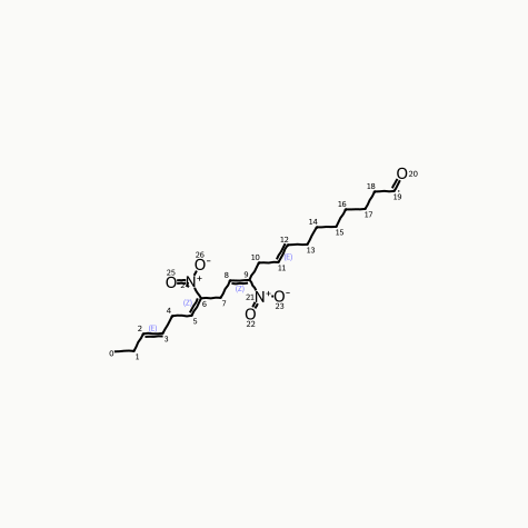 CC/C=C/C/C=C(/C/C=C(/C/C=C/CCCCCC[C]=O)[N+](=O)[O-])[N+](=O)[O-]